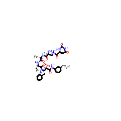 CC(C)C[C@H](NC(=O)[C@@H](NC(=O)[C@@H](N)CNC(=O)c1cc(=O)[nH]c(=O)[nH]1)C(C)C)C(=O)N[C@@H](Cc1ccccc1)[C@@H](O)C(=O)Nc1cccc(C(=O)O)c1